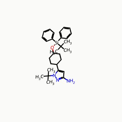 CC(C)(C)n1nc(N)cc1C1CCC(O[Si](c2ccccc2)(c2ccccc2)C(C)(C)C)CC1